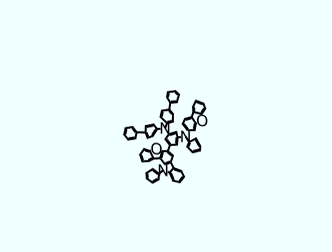 c1ccc(-c2ccc(N(c3ccc(-c4ccccc4)cc3)c3cc(-c4cc5c6ccccc6n(-c6ccccc6)c5c5c4oc4ccccc45)cc(N(c4ccccc4)c4ccc5c(c4)oc4ccccc45)c3)cc2)cc1